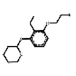 BrCCOc1cccc(OC2CCCCO2)c1CI